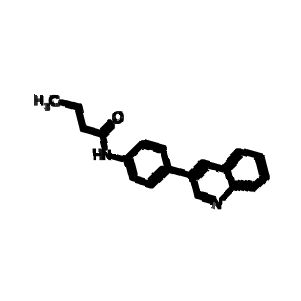 CCCC(=O)Nc1ccc(-c2cnc3ccccc3c2)cc1